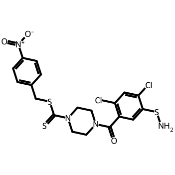 NSc1cc(C(=O)N2CCN(C(=S)SCc3ccc([N+](=O)[O-])cc3)CC2)c(Cl)cc1Cl